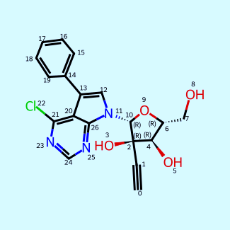 C#C[C@@]1(O)[C@H](O)[C@@H](CO)O[C@H]1n1cc(-c2ccccc2)c2c(Cl)ncnc21